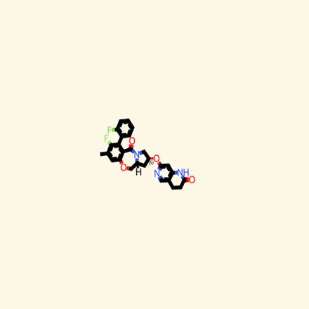 Cc1cc2c(c(-c3ccccc3F)c1F)C(=O)N1C[C@@H](Oc3cc4c(cn3)CCC(=O)N4)C[C@@H]1CO2